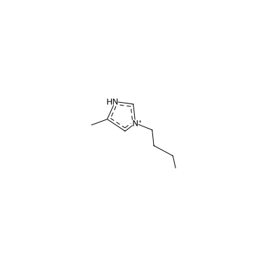 CCCC[n+]1c[nH]c(C)c1